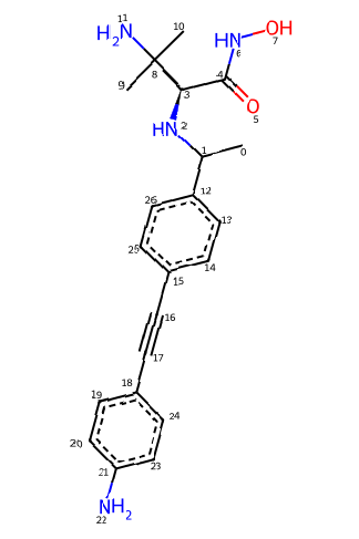 CC(N[C@H](C(=O)NO)C(C)(C)N)c1ccc(C#Cc2ccc(N)cc2)cc1